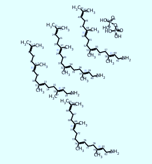 CC(C)=CCC/C(C)=C/CCC(C)=CCC/C(C)=C/CN.CC(C)=CCC/C(C)=C/CCC(C)=CCC/C(C)=C/CN.CC(C)=CCC/C(C)=C/CCC(C)=CCC/C(C)=C/CN.CC(C)=CCC/C(C)=C/CCC(C)=CCC/C(C)=C/CN.O=P(O)(O)OP(=O)(O)O